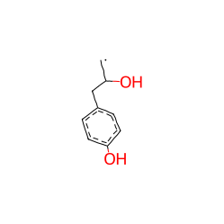 [CH2]C(O)Cc1ccc(O)cc1